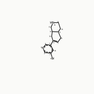 Brc1cncc(C2=CCC3CCNCC3C2)c1